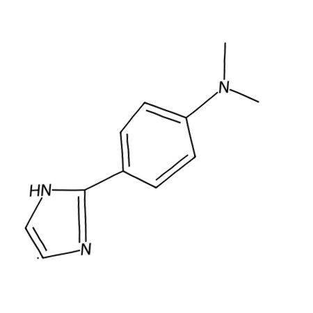 CN(C)c1ccc(-c2n[c]c[nH]2)cc1